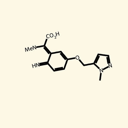 CN/C(C(=O)O)=C1/C=C(OCc2ccnn2C)C=CC1=N